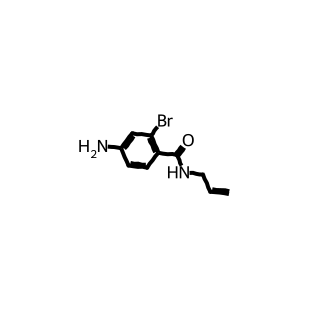 C=CCNC(=O)c1ccc(N)cc1Br